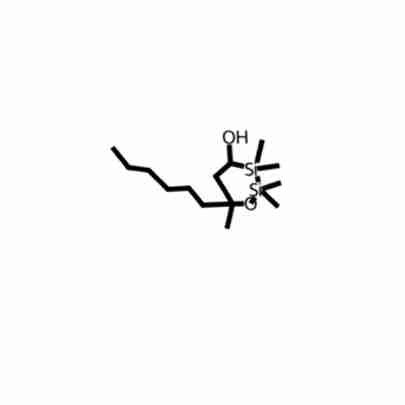 CCCCCCC1(C)CC(O)[Si](C)(C)[Si](C)(C)O1